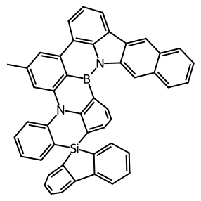 Cc1cc2c3c(c1)N1c4ccccc4[Si]4(c5ccccc5-c5ccccc54)c4cccc(c41)B3n1c3cc4ccccc4cc3c3cccc-2c31